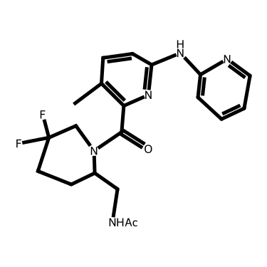 CC(=O)NCC1CCC(F)(F)CN1C(=O)c1nc(Nc2ccccn2)ccc1C